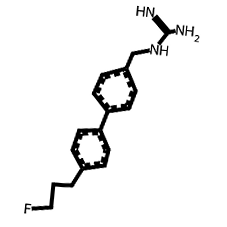 N=C(N)NCc1ccc(-c2ccc(CCCF)cc2)cc1